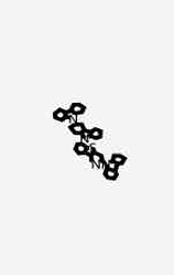 c1cc(-n2c3ccccc3c3cc(-n4c5ccccc5c5ccccc54)ccc32)c2sc3cc(-n4c5ccccc5c5ccccc54)ncc3c2c1